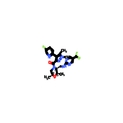 Cc1c(-c2ccc(F)cn2)c(C(=O)N2C[C@@H](C)O[C@@H](C)[C@H]2CNc2ncc(C(F)F)cn2)nn1C